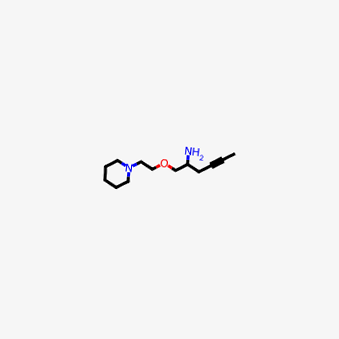 CC#CCC(N)COCCN1CCCCC1